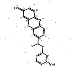 CN(Cc1cccc(O)c1)c1ccc2nc3ccc(=N)cc-3sc2c1